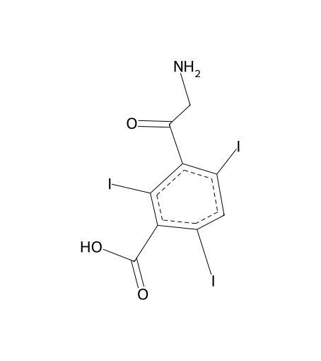 NCC(=O)c1c(I)cc(I)c(C(=O)O)c1I